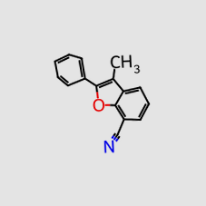 Cc1c(-c2ccccc2)oc2c(C#N)cccc12